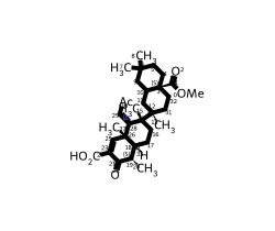 COC(=O)[C@]12CCC(C)(C)CC1C[C@](C)([C@]1(C)CC[C@H]3[C@H](C)C(=O)C(C(=O)O)=C[C@]3(C)/C1=C/C(C)=O)CC2